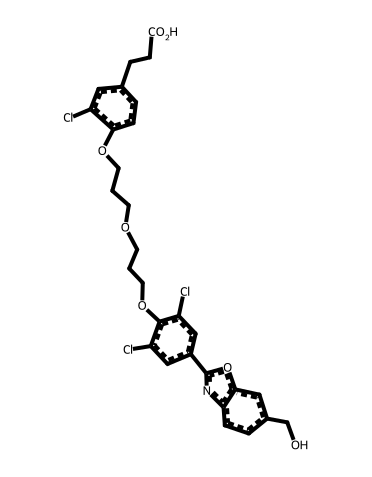 O=C(O)CCc1ccc(OCCCOCCCOc2c(Cl)cc(-c3nc4ccc(CO)cc4o3)cc2Cl)c(Cl)c1